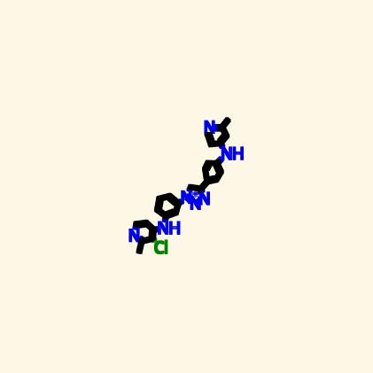 Cc1cc(Nc2ccc(C3=NN=[N+](c4cccc(Nc5ccnc(C)c5Cl)c4)C3)cc2)ccn1